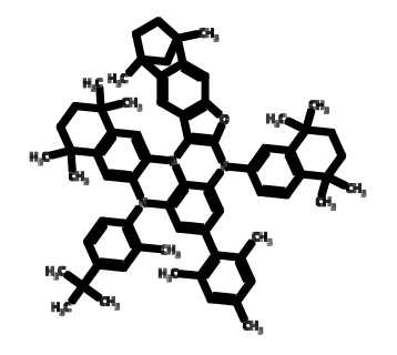 Cc1cc(C)c(-c2cc3c4c(c2)N(c2ccc5c(c2)C(C)(C)CCC5(C)C)c2oc5cc6c(cc5c2B4c2cc4c(cc2N3c2ccc(C(C)(C)C)cc2C)C(C)(C)CCC4(C)C)C2(C)CCC6(C)C2)c(C)c1